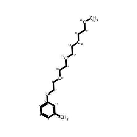 [CH2]c1cccc(OCCOCCOCCOCCOC)c1